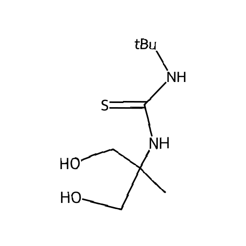 CC(C)(C)NC(=S)NC(C)(CO)CO